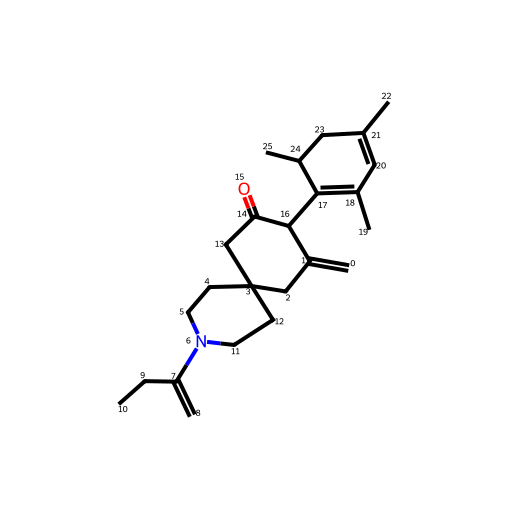 C=C1CC2(CCN(C(=C)CC)CC2)CC(=O)C1C1=C(C)C=C(C)CC1C